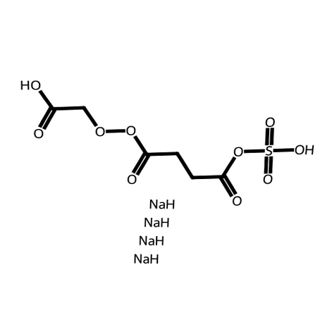 O=C(O)COOC(=O)CCC(=O)OS(=O)(=O)O.[NaH].[NaH].[NaH].[NaH]